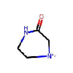 O=C1C[N+]CCN1